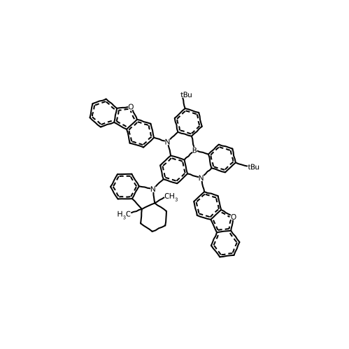 CC(C)(C)c1ccc2c(c1)N(c1ccc3c(c1)oc1ccccc13)c1cc(N3c4ccccc4C4(C)CCCCC34C)cc3c1B2c1ccc(C(C)(C)C)cc1N3c1ccc2c(c1)oc1ccccc12